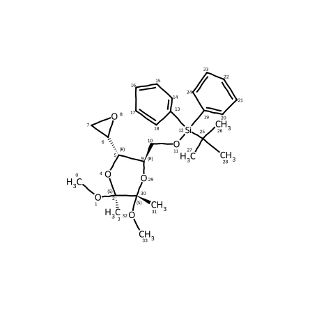 CO[C@@]1(C)O[C@H](C2CO2)[C@@H](CO[Si](c2ccccc2)(c2ccccc2)C(C)(C)C)O[C@]1(C)OC